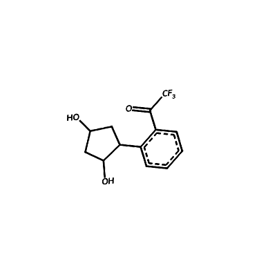 O=C(c1ccccc1C1CC(O)CC1O)C(F)(F)F